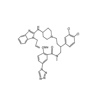 C=CCn1c(NC2CCN(CCC(CN(C)C(=O)c3cc(-n4cnnn4)ccc3OC)c3ccc(Cl)c(Cl)c3)CC2)nc2ccccc21